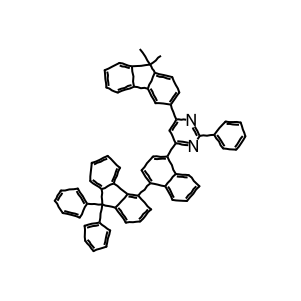 CC1(C)c2ccccc2-c2cc(-c3cc(-c4ccc(-c5cccc6c5-c5ccccc5C6(c5ccccc5)c5ccccc5)c5ccccc45)nc(-c4ccccc4)n3)ccc21